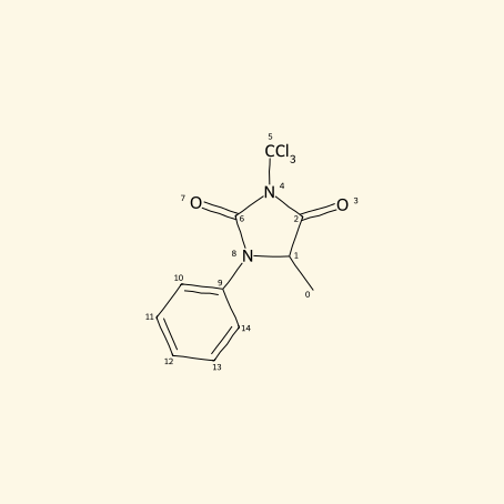 CC1C(=O)N(C(Cl)(Cl)Cl)C(=O)N1c1ccccc1